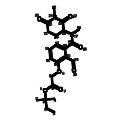 CCC(C)(C)OC(=O)COc1cccc(C(=O)N(C)C2CCC(=O)N(C)C2=O)c1C=O